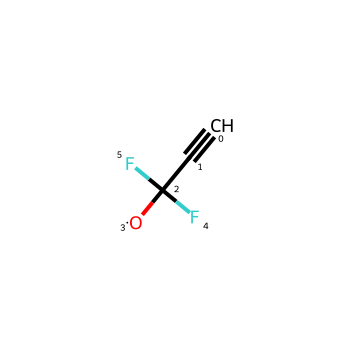 C#CC([O])(F)F